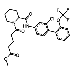 COC(=O)CCCC(=O)N1CCCCC1C(=O)Nc1ccc(-c2ccccc2OC(F)(F)F)c(Cl)c1